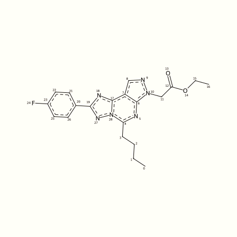 CCCCc1nc2c(cnn2CC(=O)OCC)c2nc(-c3ccc(F)cc3)nn12